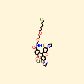 COC(=O)c1ccc(C(=O)NCCOCCOCCCCCCCl)cc1-c1c2cc(F)c(=[N+]3CCC3)cc-2oc2cc(N3CCC3)c(F)cc12